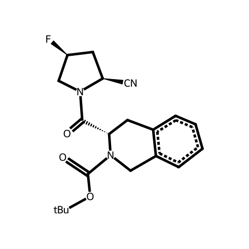 CC(C)(C)OC(=O)N1Cc2ccccc2C[C@H]1C(=O)N1C[C@@H](F)C[C@H]1C#N